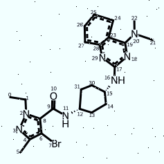 CCn1nc(C)c(Br)c1C(=O)N[C@H]1CC[C@@H](Nc2nc(N(C)C)c3ccccc3n2)CC1